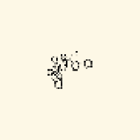 CC(C)CC(C(=O)N1CCC2C1C(=O)CN2S(=O)(=O)Cc1ccccn1)c1cccc(-c2ccccc2)c1